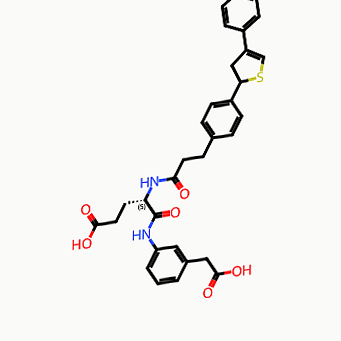 O=C(O)CC[C@H](NC(=O)CCc1ccc(C2CC(c3ccccc3)=CS2)cc1)C(=O)Nc1cccc(CC(=O)O)c1